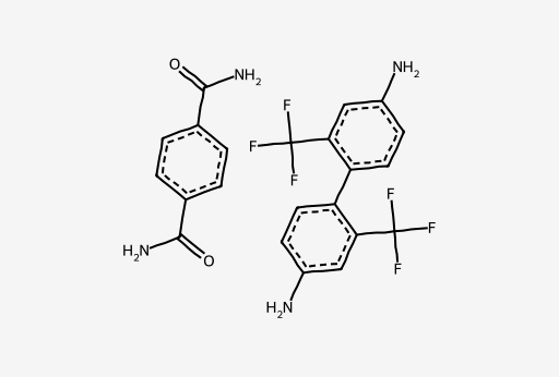 NC(=O)c1ccc(C(N)=O)cc1.Nc1ccc(-c2ccc(N)cc2C(F)(F)F)c(C(F)(F)F)c1